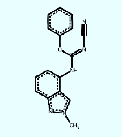 Cn1cc2c(NC(=NC#N)Oc3ccccc3)cccc2n1